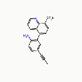 CC#Cc1ccc(N)c(-c2ccc(C(=O)O)c3ncccc23)c1